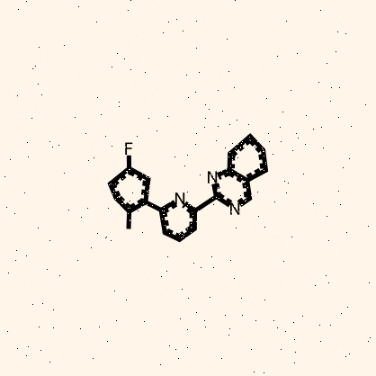 Cc1ccc(F)cc1-c1cccc(-c2ncc3ccccc3n2)n1